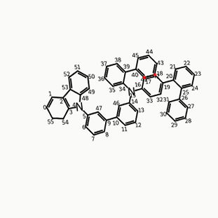 C1=Cc2c(n(-c3cccc(-c4cccc(N(c5ccc(-c6ccccc6-c6ccccc6)cc5)c5ccccc5-c5ccccc5)c4)c3)c3ccccc23)CC1